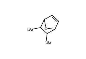 CC(C)(C)C1C2C=CC(O2)C1C(C)(C)C